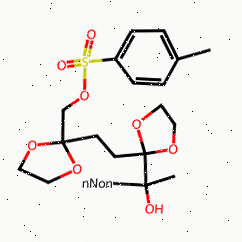 CCCCCCCCCC(C)(O)C1(CCC2(COS(=O)(=O)c3ccc(C)cc3)OCCO2)OCCO1